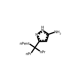 CCCCCC(CCC)(CCC)c1cc(N)[nH]n1